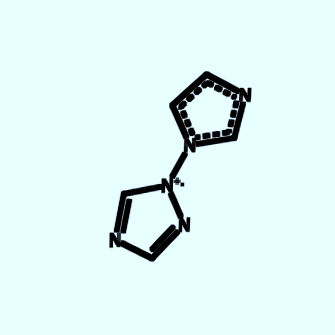 C1=NC=N[N+]1n1ccnc1